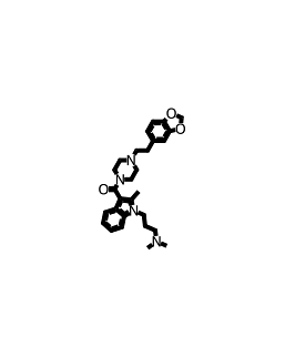 Cc1c(C(=O)N2CCN(CCc3ccc4c(c3)OCO4)CC2)c2ccccc2n1CCCN(C)C